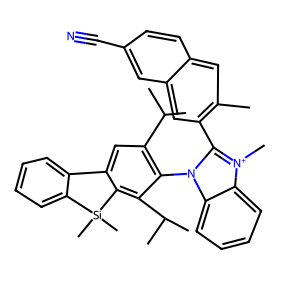 Cc1cc2ccc(C#N)cc2cc1-c1n(-c2c(C(C)C)cc3c(c2C(C)C)[Si](C)(C)c2ccccc2-3)c2ccccc2[n+]1C